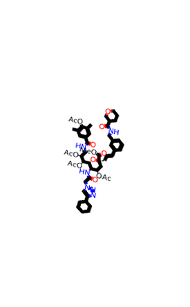 COC(=O)[C@@]1(C/C=C/c2cccc(CNC(=O)C3CCCOC3)c2)C[C@H](OC(C)=O)[C@@H](NC(=O)Cn2cc(C3CCCCC3)nn2)[C@H]([C@H](OC(C)=O)[C@@H](CNC(=O)c2cc(C)c(OC(C)=O)c(C)c2)OC(C)=O)O1